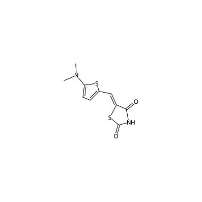 CN(C)c1ccc(/C=C2\SC(=O)NC2=O)s1